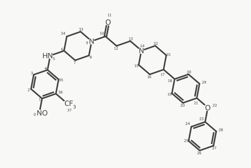 O=Nc1ccc(NC2CCN(C(=O)CCN3CCC(c4ccc(Oc5ccccc5)cc4)CC3)CC2)cc1C(F)(F)F